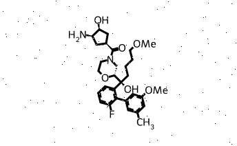 COCCCC[C@](O)(c1cccc(F)c1-c1cc(C)cc(OC)c1)[C@H]1CN(C(=O)[C@H]2C[C@@H](N)[C@@H](O)C2)CCO1